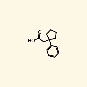 O=C(O)CC1(c2ccccc2)CCCC1